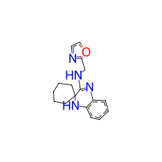 c1ccc2c(c1)N=C(NCc1ncco1)C1(CCCCC1)N2